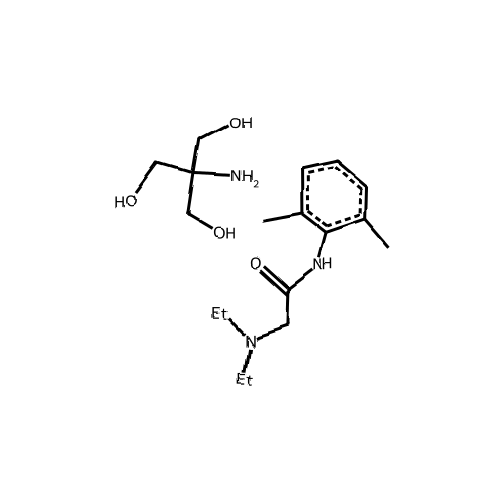 CCN(CC)CC(=O)Nc1c(C)cccc1C.NC(CO)(CO)CO